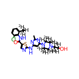 [2H]C([2H])([2H])c1cccc(Cl)c1NC(=O)c1cnc(Nc2cc(N3C([2H])([2H])C([2H])([2H])N(C([2H])([2H])C([2H])([2H])O)C([2H])([2H])C3([2H])[2H])nc(C)n2)s1